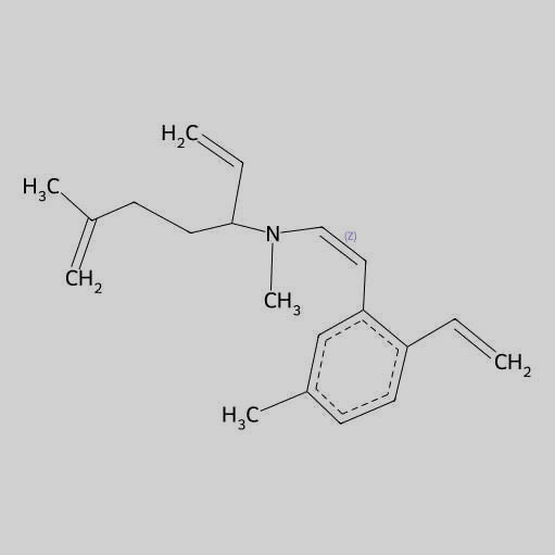 C=Cc1ccc(C)cc1/C=C\N(C)C(C=C)CCC(=C)C